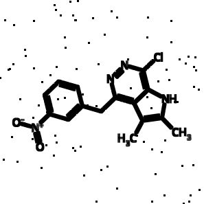 Cc1[nH]c2c(Cl)nnc(Cc3cccc([N+](=O)[O-])c3)c2c1C